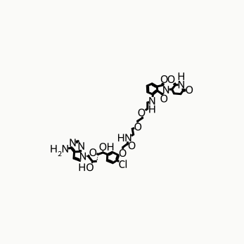 Nc1ncnc2c1ccn2[C@@H]1O[C@H]([C@H](O)c2ccc(Cl)c(OCC(=O)NCCOCCOCCNc3cccc4c3C(=O)N(C3CCC(=O)NC3=O)C4=O)c2)C[C@H]1O